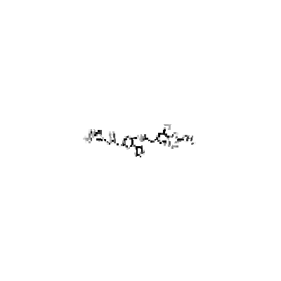 CC(C)Oc1ccc(CCCNc2ccc(CNCCCP(=O)(O)O)cc2-c2ccoc2)cc1Cl